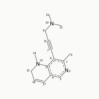 Cc1ncc2c(c1C#CCN(C)C)N(C)CC=C2